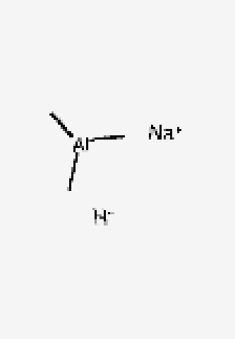 [CH3][Al]([CH3])[CH3].[H-].[Na+]